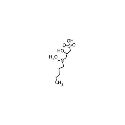 CCCCCNCC(O)CS(=O)(=O)O.O